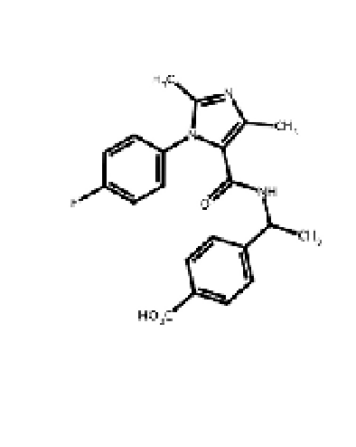 Cc1nc(C)n(-c2ccc(F)cc2)c1C(=O)NC(C)c1ccc(C(=O)O)cc1